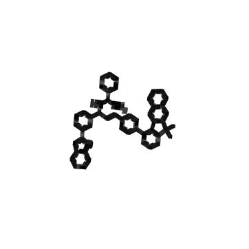 CC1(C)c2cc3ccccc3cc2-c2c(-c3ccc(/C=C/C(NC(N)c4ccccc4)c4cccc(-c5cc6ccccc6o5)c4)cc3)cccc21